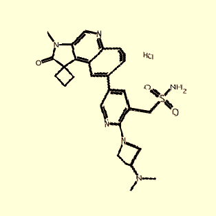 CN1C(=O)C2(CCC2)c2c1cnc1ccc(-c3cnc(N4CC(N(C)C)C4)c(CS(N)(=O)=O)c3)cc21.Cl